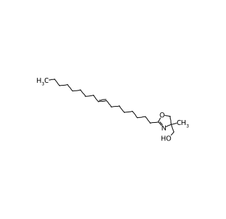 CCCCCCCCC=CCCCCCCCC1=NC(C)(CO)CO1